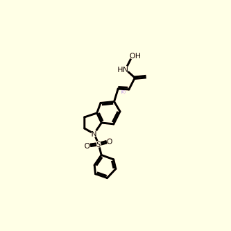 C=C(/C=C/c1ccc2c(c1)CCN2S(=O)(=O)c1ccccc1)NO